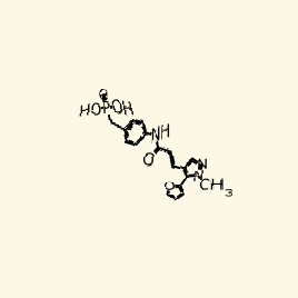 Cn1ncc(C=CC(=O)Nc2ccc(CP(=O)(O)O)cc2)c1-c1ccco1